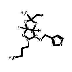 CCCC[C@H]1O[C@@H]2OC(C)(CF)O[C@@H]2[C@H]1OCc1ccoc1